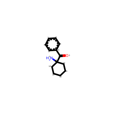 NC1(C(=O)c2ccccc2)CCCCC1